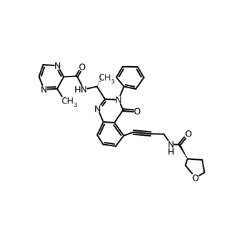 Cc1nccnc1C(=O)N[C@H](C)c1nc2cccc(C#CCNC(=O)[C@H]3CCOC3)c2c(=O)n1-c1ccccc1